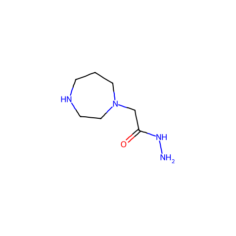 NNC(=O)CN1CCCNCC1